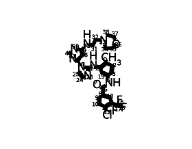 Cc1ccc(NC(=O)c2ccc(Cl)c(C(F)(F)F)c2)cc1Nc1nccn1-c1cc(NCCN2CCOCC2)ncn1